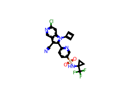 N#Cc1c(-c2ccc(S(=O)(=O)NC3(C(F)(F)F)CC3)cn2)n(C2=CC=C2)c2cc(Cl)ncc12